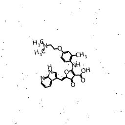 Cc1cc(OCCN(C)C)ccc1NC1=C(C(=O)O)C(=O)C(=Cc2c[nH]c3ncccc23)O1